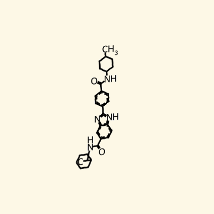 CC1CCC(NC(=O)c2ccc(-c3nc4cc(C(=O)NC5CC6CCC5CC6)ccc4[nH]3)cc2)CC1